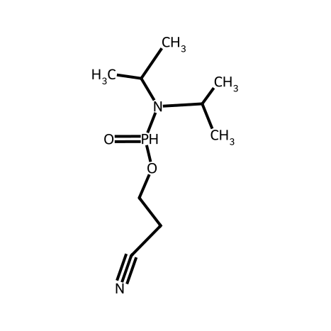 CC(C)N(C(C)C)[PH](=O)OCCC#N